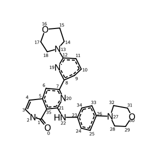 O=C1[N]C=Cc2cc(-c3cccc(N4CCOCC4)n3)nc(Nc3ccc(N4CCOCC4)cc3)c21